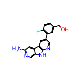 Nc1cc2c(cn1)[nH]c1ncc(-c3cc(CO)ccc3F)cc12